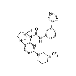 O=C(Nc1cccc(-c2cnco2)c1)N1c2nc(N3CCC[C@@H](C(F)(F)F)C3)ccc2N2CC[C@H]1C2